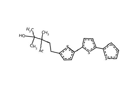 CC(=O)C(C)(CCc1ccc(-c2ccc(-c3cccs3)s2)s1)C(C)(C)O